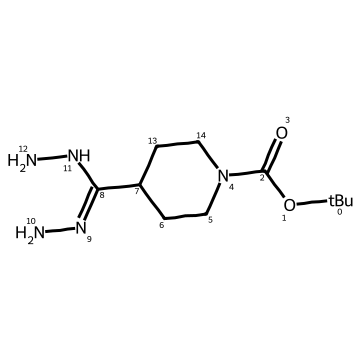 CC(C)(C)OC(=O)N1CCC(/C(=N/N)NN)CC1